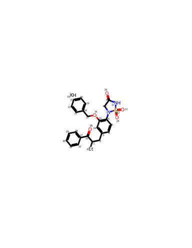 CCC(Cc1ccc(N2CC(=O)NS2(=O)=O)c(OCc2ccccc2)c1)C(=O)c1ccccc1.[KH]